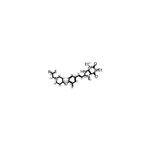 CCn1c2c(c(=O)n(CC)c1=O)N(C)C(/C=C/c1ccc(OC3CCN(CC(F)F)CC3)c(F)c1)N2